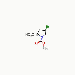 CC(C)(C)OC(=O)N1CC(Br)C[C@H]1C(=O)O